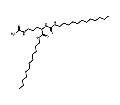 CCCCCCCCCCCCNC(=O)NC(CCCNC(=N)N)C(=O)NCCCCCCCCCCCC